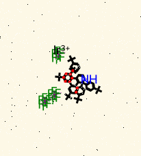 CC(C)(C)c1ccc(C2(c3ccc(C(C)(C)C)cc3)NC=CC(c3ccc(C(C)(C)C)cc3-c3cccc(C(C)(C)C)c3)=C2c2ccc(C(C)(C)C)cc2-c2cccc(C(C)(C)C)c2)cc1.F[P-](F)(F)(F)(F)F.F[P-](F)(F)(F)(F)F.F[P-](F)(F)(F)(F)F.[Ir+3]